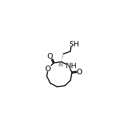 O=C1CCCCCOC(=O)[C@H](CCS)N1